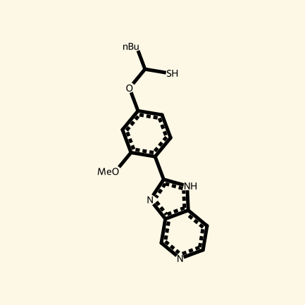 CCCCC(S)Oc1ccc(-c2nc3cnccc3[nH]2)c(OC)c1